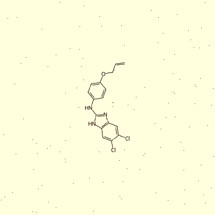 C=CCOc1ccc(Nc2nc3cc(Cl)c(Cl)cc3[nH]2)cc1